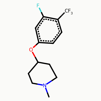 CN1CCC(Oc2ccc(C(F)(F)F)c(F)c2)CC1